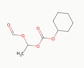 CC(OC=O)OC(=O)OC1CCCCC1